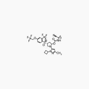 Cc1cc(N2C[C@H](S(=O)(=O)c3ccc(OCC(F)(F)F)cc3C(F)(F)F)C[C@H]2OC(=O)NC2(C#N)CC2)n(C2CCC2)n1